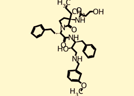 CCC(C)[C@@]1(NC(=O)CCO)CCN([C@@H](CCc2ccccc2)C(=O)N[C@@H](Cc2ccccc2)[C@H](O)CNCc2cccc(OC)c2)C1=O